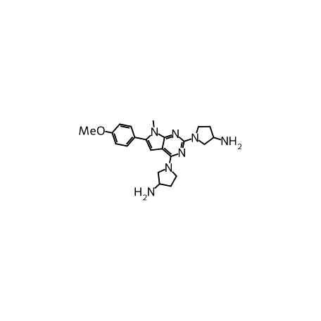 COc1ccc(-c2cc3c(N4CCC(N)C4)nc(N4CCC(N)C4)nc3n2C)cc1